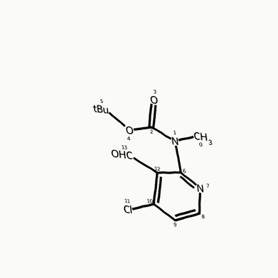 CN(C(=O)OC(C)(C)C)c1nccc(Cl)c1C=O